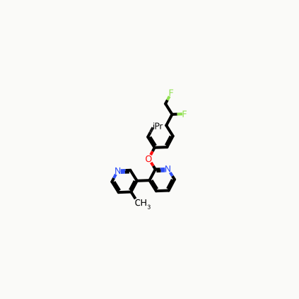 Cc1ccncc1-c1cccnc1OC(/C=C\CC(F)CF)=C/C(C)C